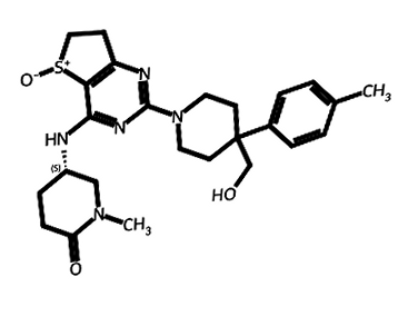 Cc1ccc(C2(CO)CCN(c3nc4c(c(N[C@H]5CCC(=O)N(C)C5)n3)[S+]([O-])CC4)CC2)cc1